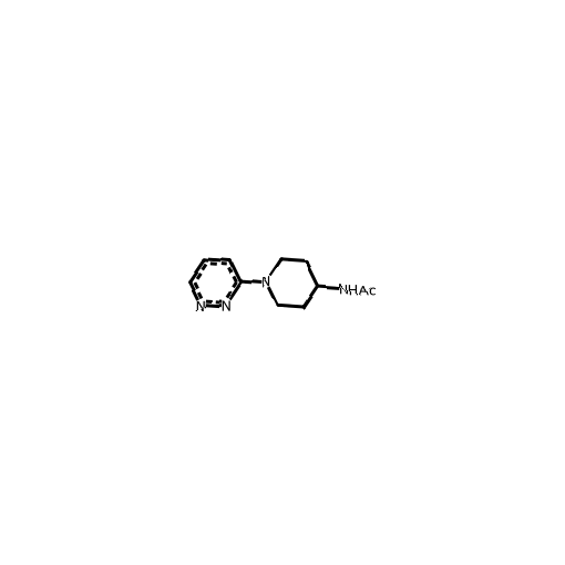 CC(=O)NC1CCN(c2cccnn2)CC1